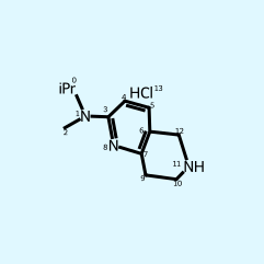 CC(C)N(C)c1ccc2c(n1)CCNC2.Cl